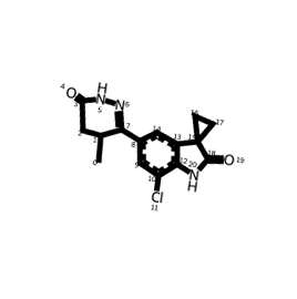 CC1CC(=O)NN=C1c1cc(Cl)c2c(c1)C1(CC1)C(=O)N2